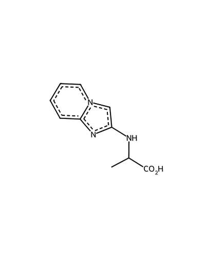 CC(Nc1cn2ccccc2n1)C(=O)O